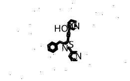 OC1(C#Cc2sc(-c3cccnc3)nc2Cc2ccccc2)CN2CCC1CC2